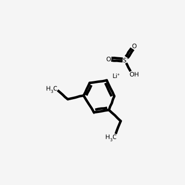 CCc1[c]c(CC)ccc1.O=[S-](=O)O.[Li+]